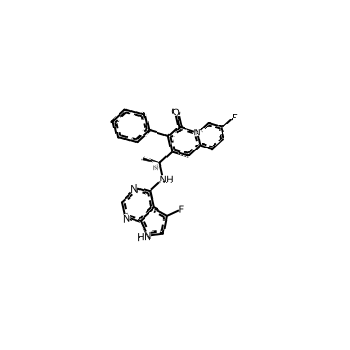 C[C@H](Nc1ncnc2[nH]cc(F)c12)c1cc2ccc(F)cn2c(=O)c1-c1ccccc1